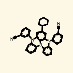 N#Cc1cccc(N2c3ccccc3B3c4ccccc4N(c4cccc(C#N)c4)c4cc(C5CCCCC5)cc2c43)c1